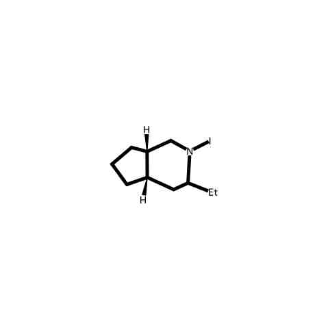 CCC1C[C@@H]2CCC[C@@H]2CN1I